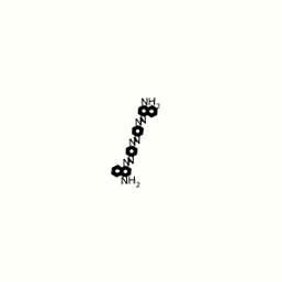 Nc1ccc(N=Nc2ccc(N=Nc3ccc(N=Nc4ccc(N)c5ccccc45)cc3)cc2)c2ccccc12